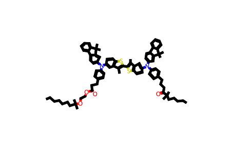 CCCCCCCC(C)(C)OCCOC(=O)CCc1ccc(N(c2ccc3c(c2)C(C)(C)c2ccccc2-3)c2ccc3sc(-c4sc5ccc(N(c6ccc(CCCC(=O)C(C)(C)CCCCC)cc6)c6ccc7c(c6)C(C)(C)c6ccccc6-7)cc5c4C)c(C)c3c2)cc1